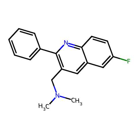 CN(C)Cc1cc2cc(F)ccc2nc1-c1ccccc1